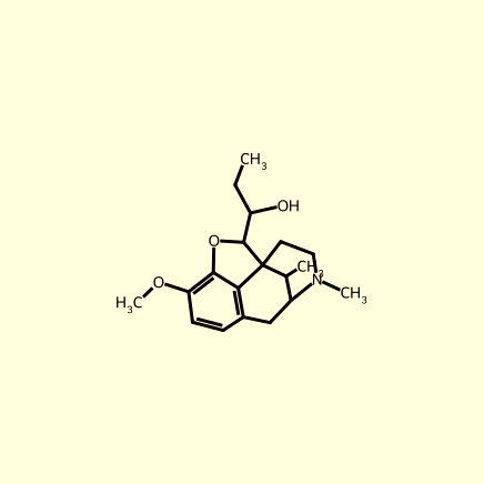 CCC(O)C1Oc2c(OC)ccc3c2C12CCN(C)C(C3)C2C